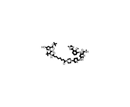 CNC(=O)c1nnc(Nc2ccc(N3CCN(C(=O)CCCCCCC(=O)NC(C(=O)N4CC(O)CC4C(=O)OC(C)(C)C)C(C)(C)C)CC3)cn2)cc1Nc1cccc(-c2ncn(C)n2)c1OC